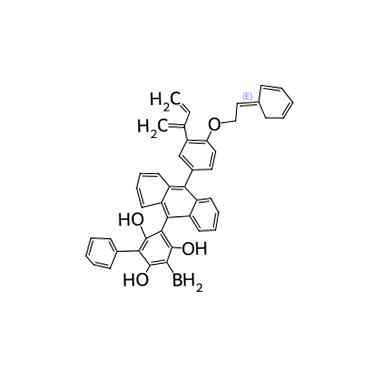 Bc1c(O)c(-c2ccccc2)c(O)c(-c2c3ccccc3c(-c3ccc(OC/C=C4/C=CC=CC4)c(C(=C)C=C)c3)c3ccccc23)c1O